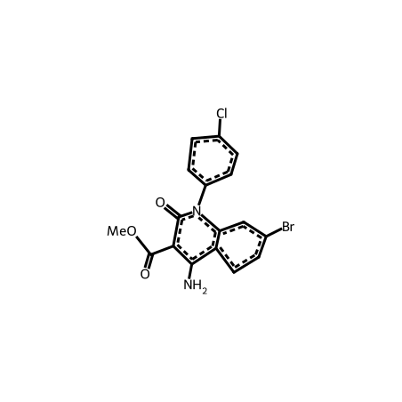 COC(=O)c1c(N)c2ccc(Br)cc2n(-c2ccc(Cl)cc2)c1=O